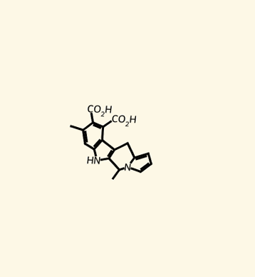 Cc1cc2[nH]c3c(c2c(C(=O)O)c1C(=O)O)Cc1cccn1C3C